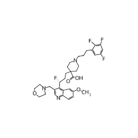 COc1ccc2ncc(CN3CCOCC3)c([C@H](F)CCC3(C(=O)O)CCN(CCCc4cc(F)cc(F)c4F)CC3)c2c1